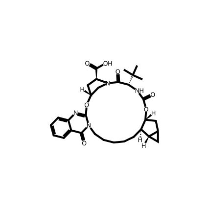 CC(C)(C)[C@@H]1NC(=O)O[C@@H]2CC3C[C@@H]3[C@H]2CCCCCn2c(nc3ccccc3c2=O)O[C@@H]2C[C@@H](C(=O)O)N(C2)C1=O